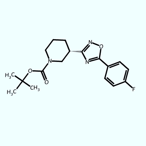 CC(C)(C)OC(=O)N1CCC[C@H](c2noc(-c3ccc(F)cc3)n2)C1